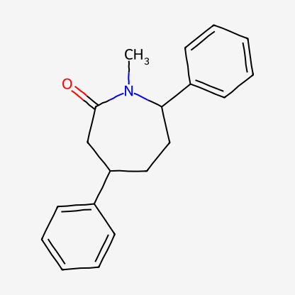 CN1C(=O)CC(c2ccccc2)CCC1c1ccccc1